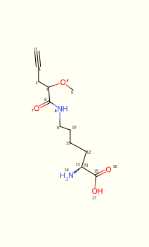 C#CCC(OC)C(=O)NCCCC[C@H](N)C(=O)O